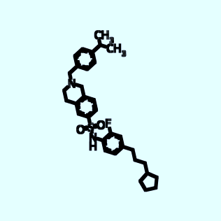 CC(C)c1ccc(CN2CCc3cc(S(=O)(=O)Nc4ccc(CCCC5CCCC5)cc4F)ccc3C2)cc1